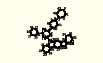 c1ccc(-c2ccc(-c3nc(-c4ccccc4)nc(-n4c5ccccc5c5cc6sc7ncccc7c6cc54)n3)cc2)cc1